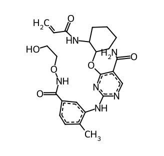 C=CC(=O)NC1CCCCC1Oc1nc(Nc2cc(C(=O)NOCCO)ccc2C)ncc1C(N)=O